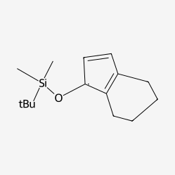 CC(C)(C)[Si](C)(C)O[C]1C=CC2=C1CCCC2